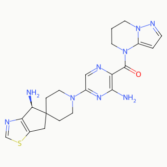 Nc1nc(N2CCC3(CC2)Cc2scnc2[C@H]3N)cnc1C(=O)N1CCCn2nccc21